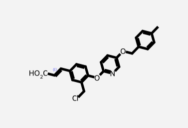 Cc1ccc(COc2ccc(Oc3ccc(/C=C/C(=O)O)cc3CCl)nc2)cc1